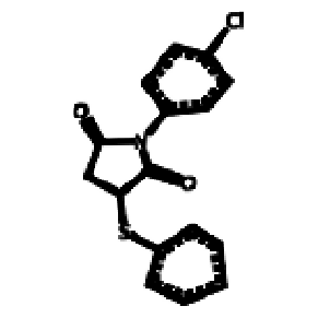 O=C1CC(Sc2ccccc2)C(=O)N1c1ccc(Cl)cc1